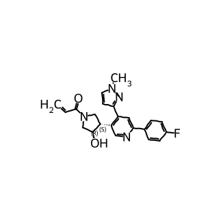 C=CC(=O)N1C[C@H](c2cnc(-c3ccc(F)cc3)cc2-c2ccn(C)n2)[C@@H](O)C1